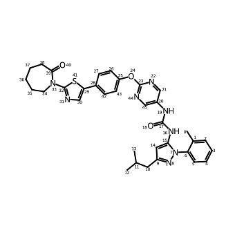 Cc1ccccc1-n1nc(CC(C)C)cc1NC(=O)Nc1cnc(Oc2ccc(-c3cnc(N4CCCCCC4=O)s3)cc2)nc1